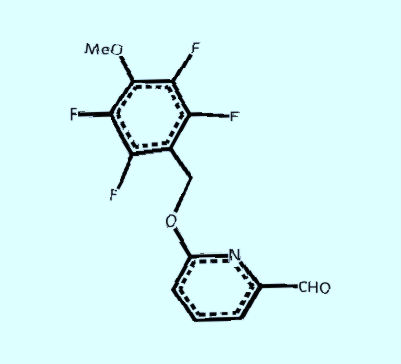 COc1c(F)c(F)c(COc2cccc(C=O)n2)c(F)c1F